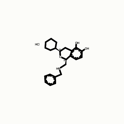 Cl.Oc1ccc2c(c1O)C[C@H](C1CCCCC1)O[C@@H]2CNCc1ccccc1